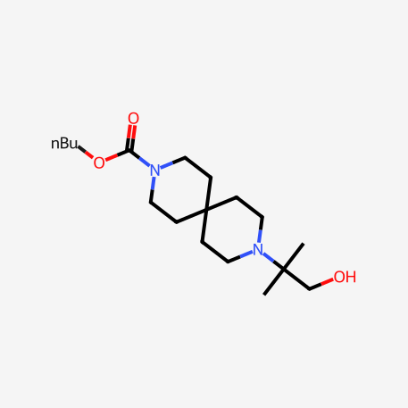 CCCCOC(=O)N1CCC2(CC1)CCN(C(C)(C)CO)CC2